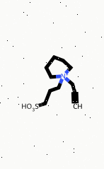 C#CC[N+]1(CCCS(=O)(=O)O)CCCCC1